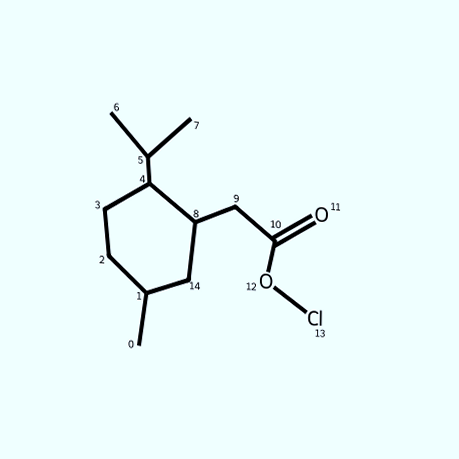 CC1CCC(C(C)C)C(CC(=O)OCl)C1